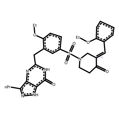 CCCc1n[nH]c2c(=O)[nH]c(Cc3cc(S(=O)(=O)N4CCC(=O)/C(=C/c5ccccc5OCC)C4)ccc3OCC)nc12